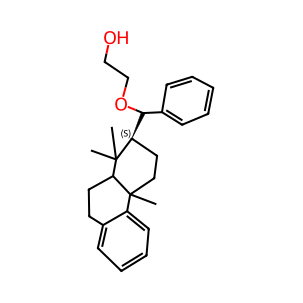 CC12CC[C@H](C(OCCO)c3ccccc3)C(C)(C)C1CCc1ccccc12